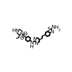 CCC1CNCCN1S(=O)(=O)c1ccc(Nc2ncc(/C=C/c3ccc4nc(N)sc4c3)cn2)cc1